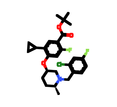 C[C@@H]1CC[C@@H](Oc2cc(F)c(C(=O)OC(C)(C)C)cc2C2CC2)CN1Cc1ccc(F)cc1Cl